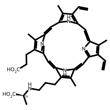 C=CC1=C(C)c2cc3[nH]c(cc4nc(cc5[nH]c(cc1n2)c(C)c5CCCN[C@@H](C)C(=O)O)C(CCC(=O)O)=C4C)c(C)c3C=C